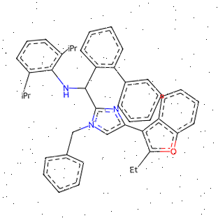 CCc1oc2ccccc2c1-c1cn(Cc2ccccc2)c(C(Nc2c(C(C)C)cccc2C(C)C)c2ccccc2-c2ccccc2)n1